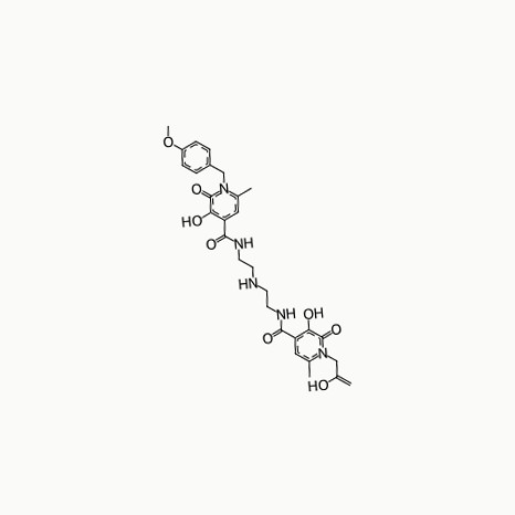 C=C(O)Cn1c(C)cc(C(=O)NCCNCCNC(=O)c2cc(C)n(Cc3ccc(OC)cc3)c(=O)c2O)c(O)c1=O